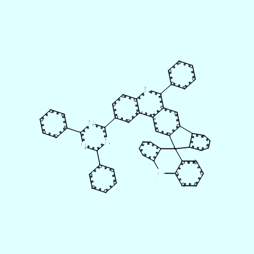 c1ccc(-c2nc(-c3ccccc3)nc(-c3ccc4nc(-c5ccccc5)c5cc6c(cc5c4c3)C3(c4ccccc4Oc4ccccc43)c3ccccc3-6)n2)cc1